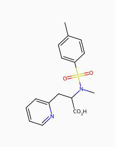 Cc1ccc(S(=O)(=O)N(C)C(Cc2ccccn2)C(=O)O)cc1